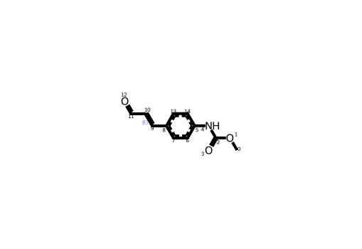 COC(=O)Nc1ccc(/C=C/C=O)cc1